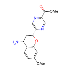 COC(=O)c1cnc([C@H]2C[C@@H](N)c3ccc(OC)cc3O2)cn1